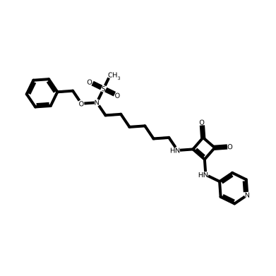 CS(=O)(=O)N(CCCCCCNc1c(Nc2ccncc2)c(=O)c1=O)OCc1ccccc1